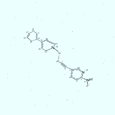 CNc1ccc(C#CCCN2C=CC(C3=CCC=CC3)=CC2)cn1